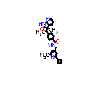 Cc1cc(CNC(=O)c2ccc(C(C)[C@@]3(C)C(=O)Nc4ncccc43)cc2)cc(C2CCC2)n1